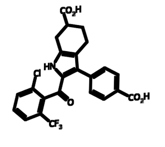 O=C(O)c1ccc(-c2c(C(=O)c3c(Cl)cccc3C(F)(F)F)[nH]c3c2CCC(C(=O)O)C3)cc1